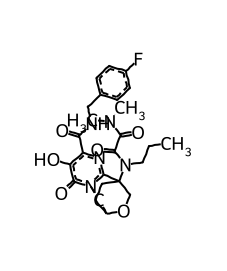 CCCN(C(=O)C(=O)N(C)C)C12CCC(Cn3c1nc(C(=O)NCc1ccc(F)cc1)c(O)c3=O)OC2